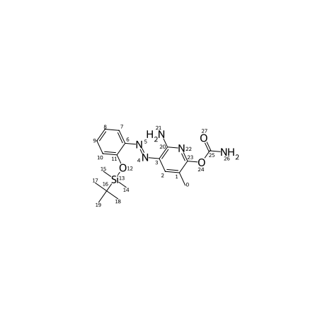 Cc1cc(N=Nc2ccccc2O[Si](C)(C)C(C)(C)C)c(N)nc1OC(N)=O